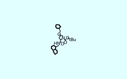 CC(C)(C)OC(=O)N1C[C@H](OCc2ccccc2)CC1C(=O)NCc1cccc2ccccc12